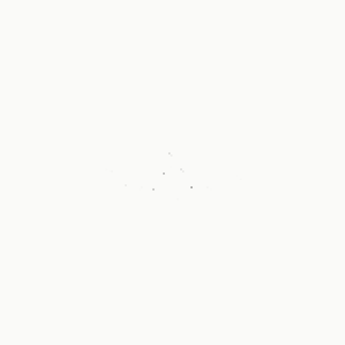 Cc1cccc(C)c1/C=C/n1cnc2c(Nc3ccc(P(C)(C)=O)cc3)nc(NC3CC3)nc21